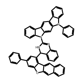 c1ccc(-c2cc(C3NC(n4c5ccccc5c5cc6c7ccccc7n(-c7ccccc7)c6cc54)=Nc4ccccc43)c3c(c2)oc2cc4ccccc4cc23)cc1